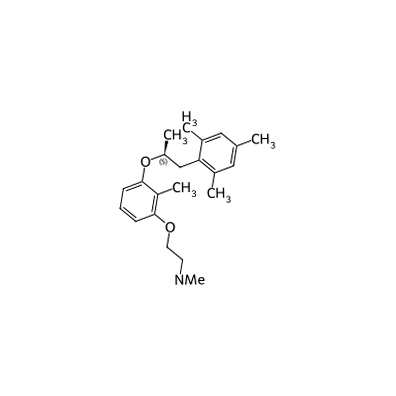 CNCCOc1cccc(O[C@@H](C)Cc2c(C)cc(C)cc2C)c1C